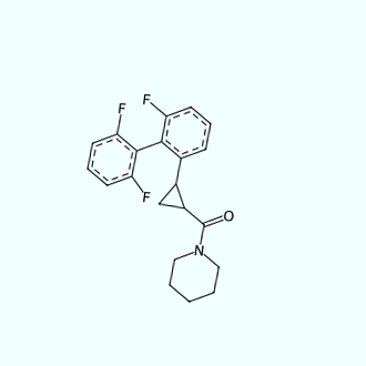 O=C(C1CC1c1cccc(F)c1-c1c(F)cccc1F)N1CCCCC1